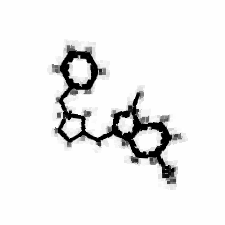 Cn1cc(CC2CCN(Cc3ccccc3)C2)c2cc(Br)ccc21